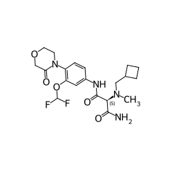 CN(CC1CCC1)[C@@H](C(N)=O)C(=O)Nc1ccc(N2CCOCC2=O)c(OC(F)F)c1